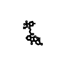 CCOS(=O)(=O)c1ccc(C)cc1OCCNc1cccc2c1C(=O)N(C1CCC(=O)NC1=O)C2=O